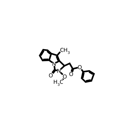 CON1C(=O)n2c(c(C)c3ccccc32)C1CC(=O)Oc1ccccc1